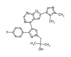 Cc1c(-c2cc3c(-c4cn(CC(C)(C)O)nc4-c4ccc(F)cc4)ncnc3o2)cnn1C